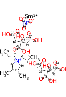 CCC[N+](CCC)(CCC)CCC.O=C(O)CC(O)(CC(=O)O)C(=O)O.O=C(O)CC(O)(CC(=O)O)C(=O)O.O=[N+]([O-])[O-].[Sm+3]